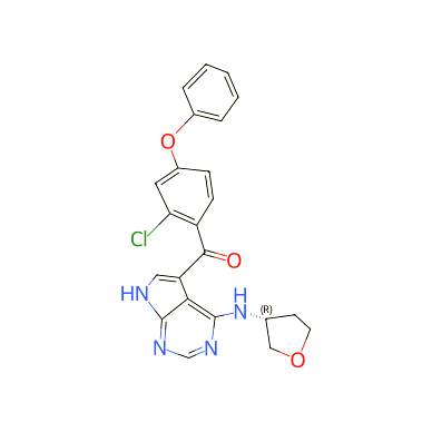 O=C(c1ccc(Oc2ccccc2)cc1Cl)c1c[nH]c2ncnc(N[C@@H]3CCOC3)c12